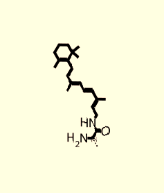 CC(C=CC1=C(C)CCCC1(C)C)=CC=CC(C)=CCNC(=O)[C@H](C)N